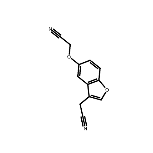 N#CCOc1ccc2occ(CC#N)c2c1